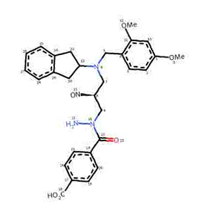 COc1ccc(CN(C[C@@H](CN(N)C(=O)c2ccc(C(=O)O)cc2)N=O)C2Cc3ccccc3C2)c(OC)c1